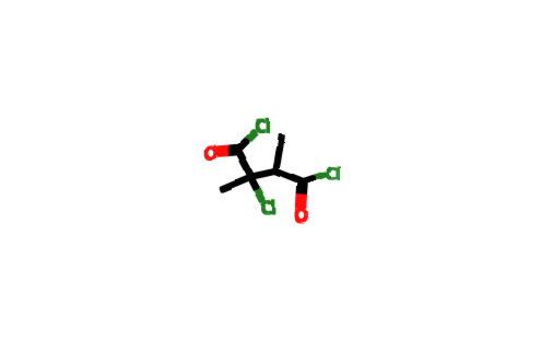 CC(C(=O)Cl)C(C)(Cl)C(=O)Cl